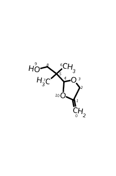 C=C1COC(C(C)(C)CO)O1